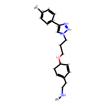 CC(C)NCCC1=CCC(OCCCn2cc(-c3ccc(C(C)C)cc3)nn2)C=C1